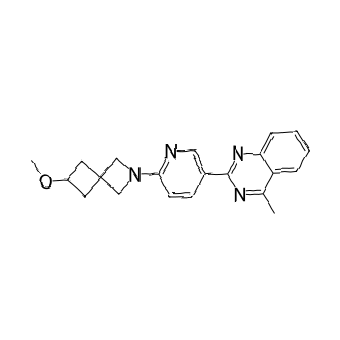 COC1CC2(C1)CN(c1ccc(-c3nc(C)c4ccccc4n3)cn1)C2